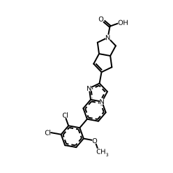 COc1ccc(Cl)c(Cl)c1-c1ccn2cc(C3=CC4CN(C(=O)O)CC4C3)nc2c1